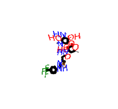 CN[C@@H]1[C@H](O)[C@H](NC)C2O[C@]3(O)C(OC2[C@@H]1O)O[C@H](C)C[C@H]3NC(=O)Cc1csc(Nc2ccc(C(F)(F)F)cc2)n1